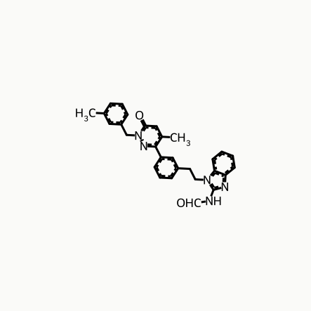 Cc1cccc(Cn2nc(-c3cccc(CCn4c(NC=O)nc5ccccc54)c3)c(C)cc2=O)c1